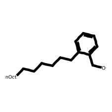 CCCCCCCCCCCCCCc1ccccc1C[O]